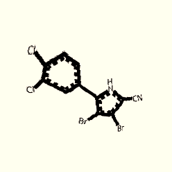 N#Cc1[nH]c(-c2ccc(Cl)c(Cl)c2)c(Br)c1Br